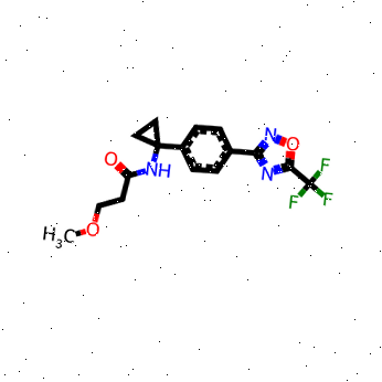 COCCC(=O)NC1(c2ccc(-c3noc(C(F)(F)F)n3)cc2)CC1